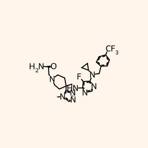 Cn1cnnc1C1(CNc2ncnc(N(Cc3ccc(C(F)(F)F)cc3)C3CC3)c2F)CCN(CC(N)=O)CC1